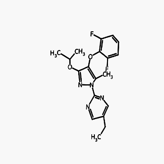 CCc1cnc(-n2nc(OC(C)C)c(Oc3c(F)cccc3F)c2C)nc1